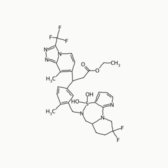 CCOC(=O)CC(c1ccc(C)c(CN2CC3CCC(F)(F)CN3c3ncccc3S2(O)O)c1)c1ccn2c(C(F)(F)F)nnc2c1C